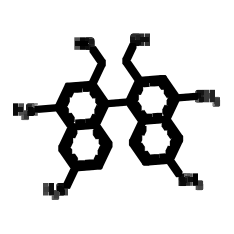 OCc1cc([SiH3])c2cc([SiH3])ccc2c1-c1c(CO)cc([SiH3])c2cc([SiH3])ccc12